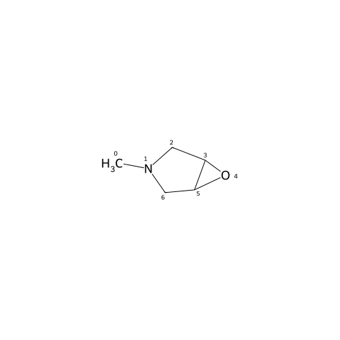 CN1CC2OC2C1